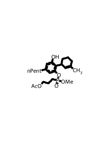 CCCCCc1cc(O)c(C2C=C(C)CCC2)c(OP(=O)(CCCOC(C)=O)OC)c1